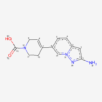 Nc1cc2ccc(C3=CCN(C(=O)O)CC3)cn2n1